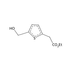 CCOC(=O)Cc1ccc(CO)s1